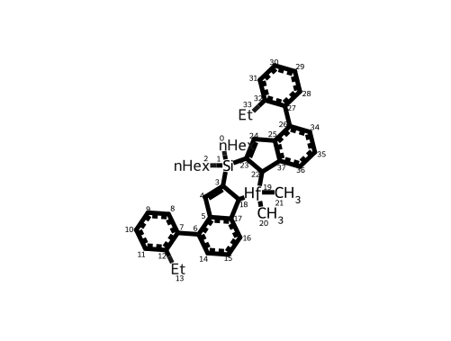 CCCCCC[Si]1(CCCCCC)C2=Cc3c(-c4ccccc4CC)cccc3[CH]2[Hf]([CH3])([CH3])[CH]2C1=Cc1c(-c3ccccc3CC)cccc12